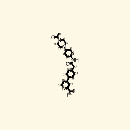 CC(=O)N1CCN(c2ccc(NC(=O)Cc3ccc(-c4ccnc(C(F)F)c4)cc3)nc2)CC1